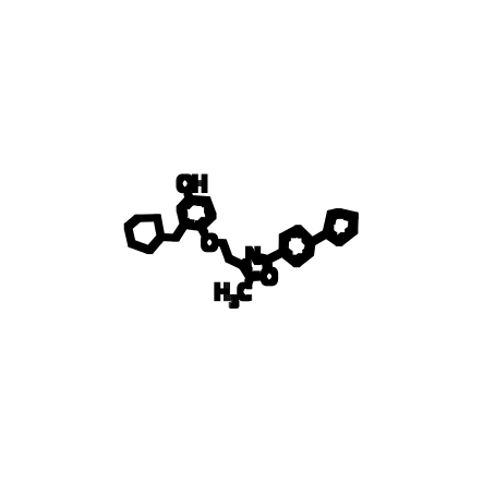 Cc1oc(-c2ccc(-c3ccccc3)cc2)nc1CCOc1ccc(O)cc1CC1CCCCC1